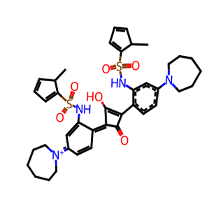 CC1C=CC=C1S(=O)(=O)NC1=CC(=[N+]2CCCCCC2)C=C/C1=C1\C(=O)C(c2ccc(N3CCCCCC3)cc2NS(=O)(=O)C2=CC=CC2C)=C1O